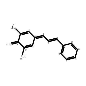 CC(C)(C)C1=CC(=CC=Cc2ccccc2)C=C(C(C)(C)C)C1=O